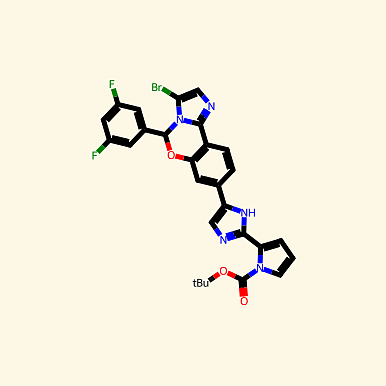 CC(C)(C)OC(=O)n1cccc1-c1ncc(-c2ccc3c(c2)OC(c2cc(F)cc(F)c2)n2c(Br)cnc2-3)[nH]1